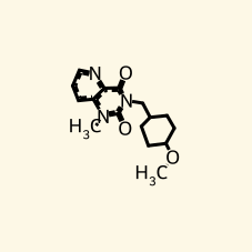 COC1CCC(Cn2c(=O)c3ncccc3n(C)c2=O)CC1